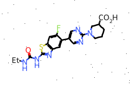 CCNC(=O)Nc1nc2cc(-c3cnc(N4CCCC(C(=O)O)C4)nc3)c(F)cc2s1